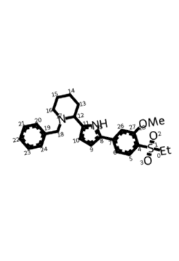 CCS(=O)(=O)c1ccc(-c2ccc(C3CCCCN3Cc3ccccc3)[nH]2)cc1OC